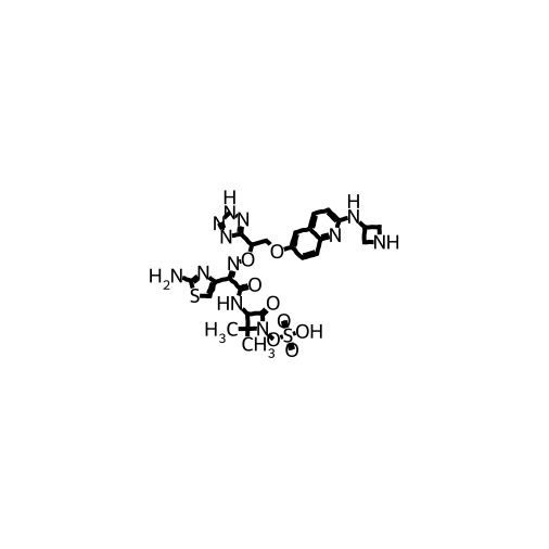 CC1(C)C(NC(=O)C(=NOC(COc2ccc3nc(NC4CNC4)ccc3c2)c2nn[nH]n2)c2csc(N)n2)C(=O)N1OS(=O)(=O)O